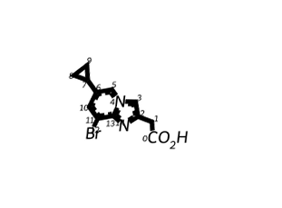 O=C(O)Cc1cn2cc(C3CC3)cc(Br)c2n1